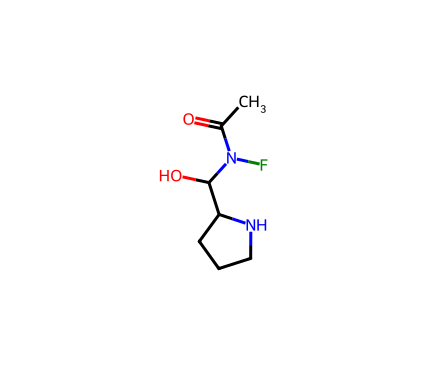 CC(=O)N(F)C(O)C1CCCN1